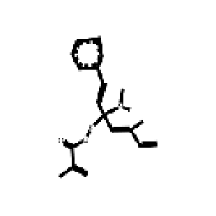 C=CC(C)=CC(C=Cc1ccccc1)(COC(=O)C(=C)C)N(C)C